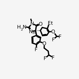 CCC1=C(OC(F)F)C=CC([C@]2(c3ccc(F)c(OCCC(F)F)c3)N=C(N)N(C)C2=O)C1